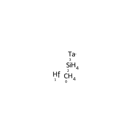 C.[Hf].[SiH4].[Ta]